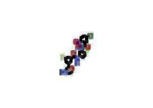 O=C(Nc1ccc(F)c(NC(=O)c2cc(Cl)ccc2[N+](=O)[O-])c1)c1cc(F)cc(C2CNCCO2)c1